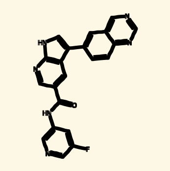 O=C(Nc1cncc(F)c1)c1cnc2[nH]cc(-c3ccc4ncncc4c3)c2c1